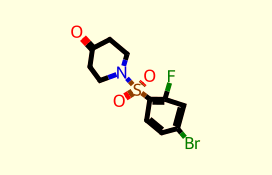 O=C1CCN(S(=O)(=O)c2ccc(Br)cc2F)CC1